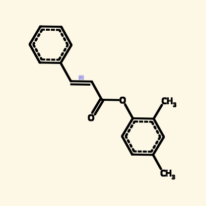 Cc1ccc(OC(=O)/C=C/c2ccccc2)c(C)c1